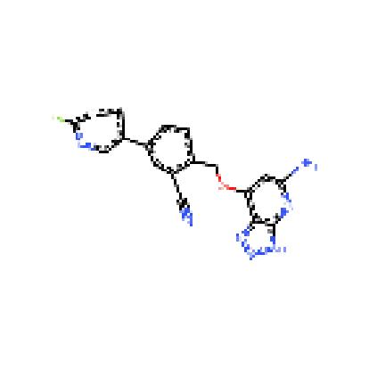 N#Cc1cc(-c2ccc(F)nc2)ccc1COc1cc(N)nc2[nH]nnc12